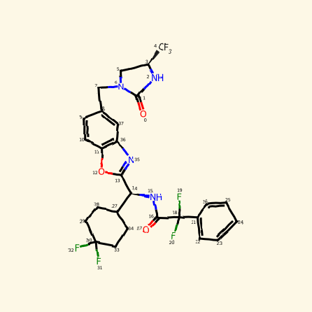 O=C1N[C@H](C(F)(F)F)CN1Cc1ccc2oc([C@@H](NC(=O)C(F)(F)c3ccccc3)C3CCC(F)(F)CC3)nc2c1